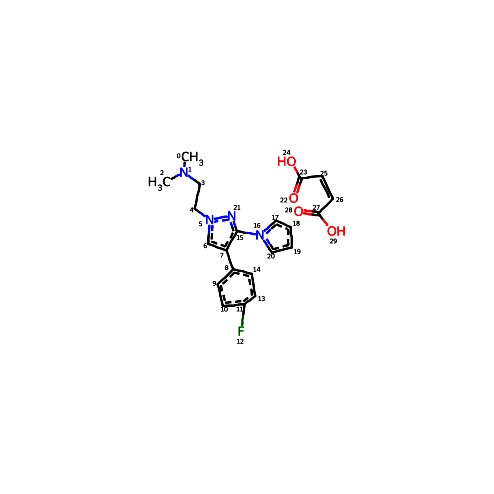 CN(C)CCn1cc(-c2ccc(F)cc2)c(-n2cccc2)n1.O=C(O)/C=C\C(=O)O